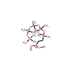 CCO[SiH](CC[Si](C)(C)O[Si](C)(C)O[Si](C)(C)O[Si](C)(C)O[Si](C)(C)C)OCC